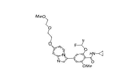 COCCOCCOc1ccn2c(-c3cc(OC)c(C(=O)NC4CC4)c(OC(F)F)c3)cnc2c1